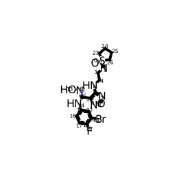 O=S1(=NCCNc2nonc2/C(=N/O)Nc2ccc(F)c(Br)c2)CCCC1